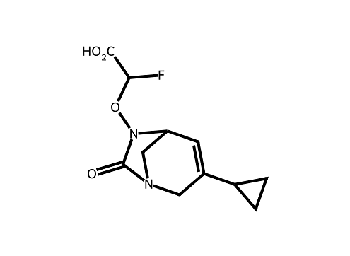 O=C(O)C(F)ON1C(=O)N2CC(C3CC3)=CC1C2